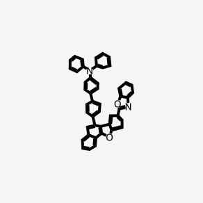 c1ccc(N(c2ccccc2)c2ccc(-c3ccc(-c4cc5ccccc5c5oc6ccc(-c7nc8ccccc8o7)cc6c45)cc3)cc2)cc1